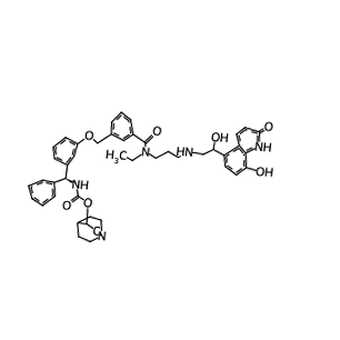 CCN(CCCNCC(O)c1ccc(O)c2[nH]c(=O)ccc12)C(=O)c1cccc(COc2cccc([C@@H](NC(=O)OC3CN4CCC3CC4)c3ccccc3)c2)c1